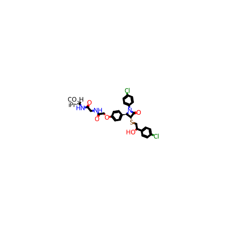 CC(C)[C@@H](NC(=O)CNC(=O)COc1ccc([C@@H]2[C@@H](SCC(O)c3ccc(Cl)cc3)C(=O)N2c2ccc(Cl)cc2)cc1)C(=O)O